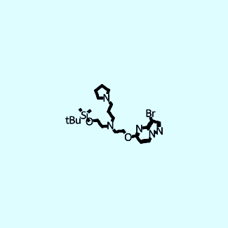 CC(C)(C)[Si](C)(C)OCCN(CCCN1CCCC1)CCOc1ccn2ncc(Br)c2n1